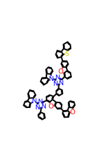 c1ccc(-c2nc(-c3ccc(-c4cccc(-c5nc(-c6cccc7c6oc6cc(-c8cccc9c8sc8ccccc89)ccc67)nc(-n6c7ccccc7c7ccccc76)n5)c4)c4c3oc3cc(-c5cccc6oc7ccccc7c56)ccc34)nc(-n3c4ccccc4c4ccccc43)n2)cc1